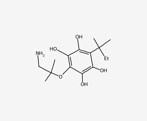 CCC(C)(C)c1c(O)c(O)c(OC(C)(C)CN)c(O)c1O